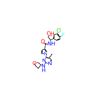 Cc1cnc(NC2CCOC2)nc1-n1ccc(C(=O)NC(CO)c2ccc(F)c(Cl)c2)c1